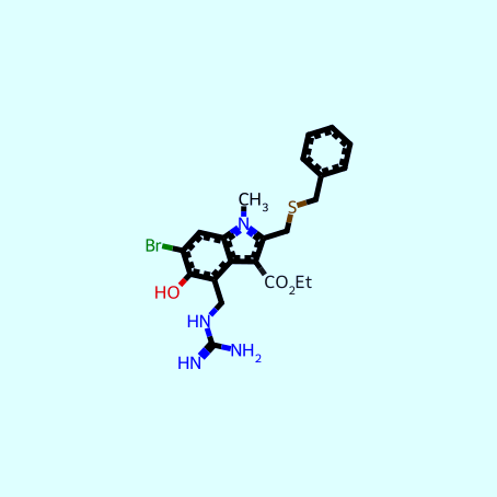 CCOC(=O)c1c(CSCc2ccccc2)n(C)c2cc(Br)c(O)c(CNC(=N)N)c12